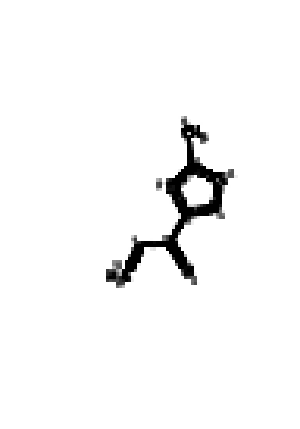 C=CC(=O)c1cnc(C)s1